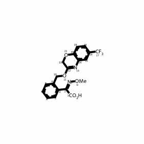 CON=C(C(=O)O)c1ccccc1COC1=Nc2cc(C(F)(F)F)ccc2OC1